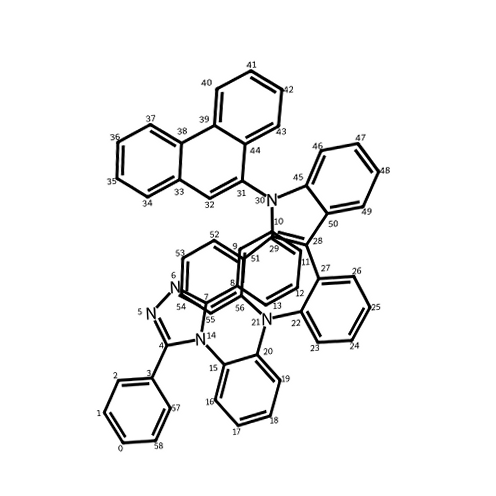 c1ccc(-c2nnc(-c3ccccc3)n2-c2ccccc2N2c3ccccc3-c3c(n(-c4cc5ccccc5c5ccccc45)c4ccccc34)-c3ccccc32)cc1